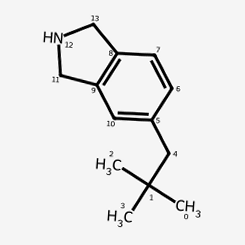 CC(C)(C)Cc1ccc2c(c1)CNC2